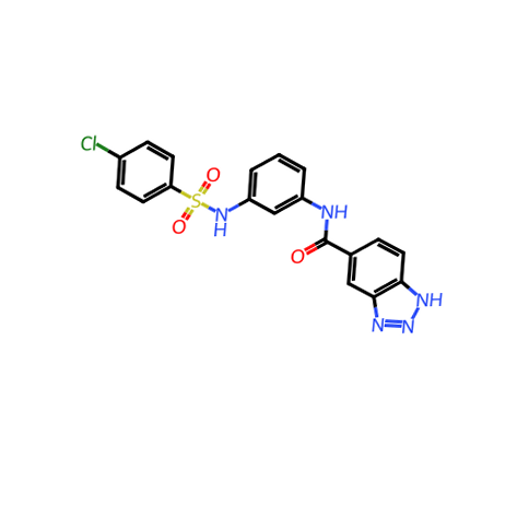 O=C(Nc1cccc(NS(=O)(=O)c2ccc(Cl)cc2)c1)c1ccc2[nH]nnc2c1